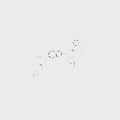 CC(C)n1nccc1C(=O)N[C@H](c1cn2ncc(C(NC(=O)CC3CC(F)(F)C3)C3CC3)cc2n1)C1C[C@@H]2[C@H](C1)C2(F)F